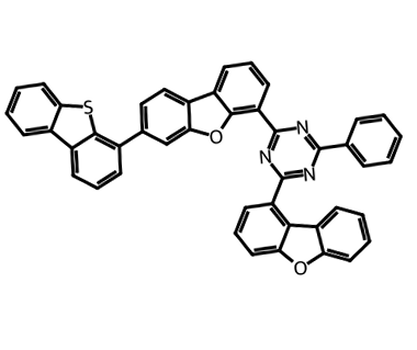 c1ccc(-c2nc(-c3cccc4c3oc3cc(-c5cccc6c5sc5ccccc56)ccc34)nc(-c3cccc4oc5ccccc5c34)n2)cc1